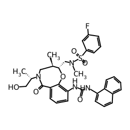 C[C@@H]1CN([C@@H](C)CO)C(=O)c2cccc(NC(=O)Nc3cccc4ccccc34)c2O[C@H]1CN(C)S(=O)(=O)c1cccc(F)c1